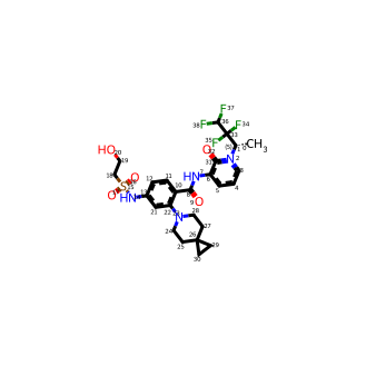 C[C@H](n1cccc(NC(=O)c2ccc(NS(=O)(=O)CCO)cc2N2CCC3(CC2)CC3)c1=O)C(F)(F)C(F)F